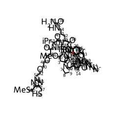 CC[C@H](C)[C@@H]([C@@H](CC(=O)N1CCC[C@H]1[C@H](OC)[C@@H](C)C(=O)N[C@H](CN=[N+]=[N-])Cc1ccc(NC(=O)[C@H](CCCNC(N)=O)NC(=O)[C@@H](NC(=O)CCOCCOCCn2nc(CS)c(CSC)n2)C(C)C)cc1)OC)N(C)C(=O)[C@@H](NC(=O)[C@H](C(C)C)N(C)C)C(C)C